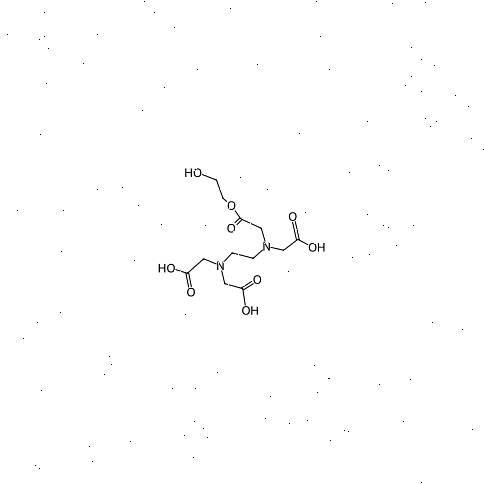 O=C(O)CN(CCN(CC(=O)O)CC(=O)OCCO)CC(=O)O